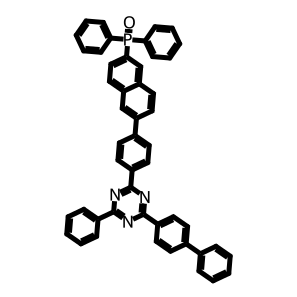 O=P(c1ccccc1)(c1ccccc1)c1ccc2cc(-c3ccc(-c4nc(-c5ccccc5)nc(-c5ccc(-c6ccccc6)cc5)n4)cc3)ccc2c1